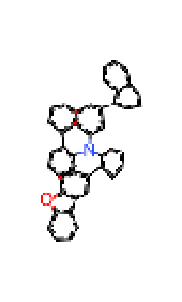 c1ccc(-c2ccccc2N(c2cccc(-c3cccc4ccccc34)c2)c2ccccc2-c2ccc3oc4ccccc4c3c2)cc1